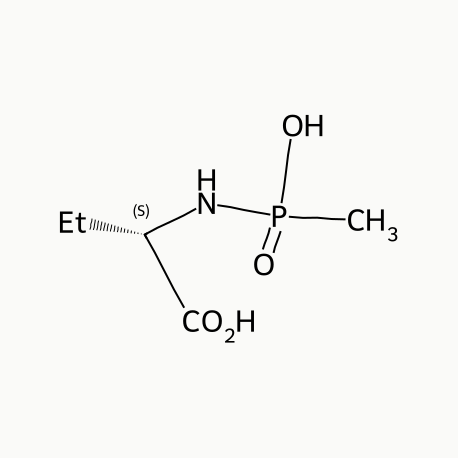 CC[C@H](NP(C)(=O)O)C(=O)O